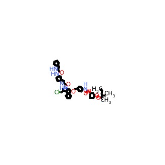 C=CCC(CC)[C@@H](C)OO[C@@H]1CCCC(OC(=O)Nc2ccc(COc3cc4c(c5ccccc35)C(CCl)CN4C(=O)c3cc4cc(NC(=O)c5cc6ccccc6[nH]5)ccc4[nH]3)cc2)C1